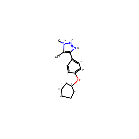 CCc1c(-c2ccc(OC3CCCCC3)cc2)nnn1C